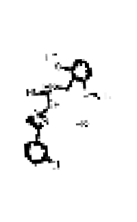 Br.COc1cccc(OC)c1CNC(=N)Nc1nc(-c2cccc(Cl)c2)cs1